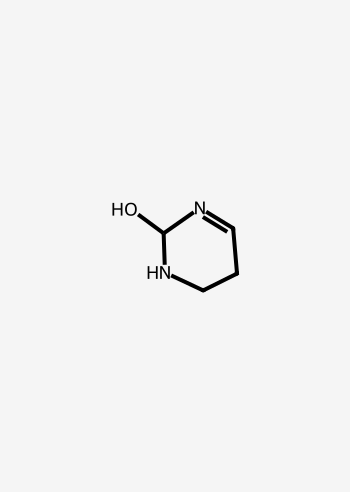 OC1N=CCCN1